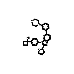 NC1(c2ccc(-n3c(C4CC=CS4)nc4ccc(-c5cccc(N6CCOCC6)c5)nc43)cc2)CCC1